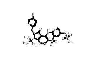 CC(C)(C)[C@H]1C(O)=C(C2=C(Cl)S(=O)(=O)c3cc(NS(C)(=O)=O)ccc3N2)C(=O)N1Cc1ccc(F)cn1